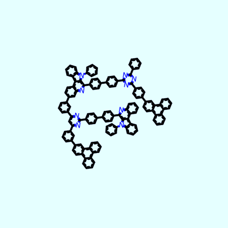 c1ccc(-c2nc(-c3ccc(-c4ccc(-c5nc6cc(-c7cccc(-c8cc(-c9cccc(-c%10ccc%11c%12ccccc%12c%12ccccc%12c%11c%10)c9)nc(-c9ccc(-c%10ccc(-c%11nc%12ccccc%12c%12c%13ccccc%13n(-c%13ccccc%13)c%11%12)cc%10)cc9)n8)c7)ccc6c6c7ccccc7n(-c7ccccc7)c56)cc4)cc3)nc(-c3ccc(-c4ccc5c6ccccc6c6ccccc6c5c4)cc3)n2)cc1